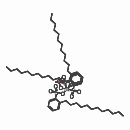 CCCCCCCCCCCCc1ccccc1S(=O)(=O)[O][Ti](=[O])([O]C(C)C)([S](=O)(=O)c1ccccc1CCCCCCCCCCCC)[S](=O)(=O)c1ccccc1CCCCCCCCCCCC